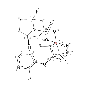 Cc1ncccc1Oc1ncnc(OC2C[C@@H]3CC[C@@H](C2)N3C(=O)OCC(F)(F)F)c1C